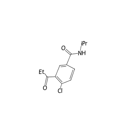 CCC(=O)c1cc(C(=O)NC(C)C)ccc1Cl